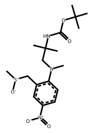 CN(CC(C)(C)NC(=O)OC(C)(C)C)c1ccc([N+](=O)[O-])cc1C[S+](C)[O-]